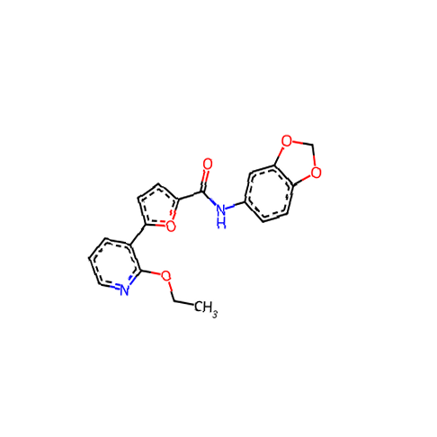 CCOc1ncccc1-c1ccc(C(=O)Nc2ccc3c(c2)OCO3)o1